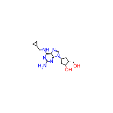 Nc1nc(NCC2CC2)c2ncn([C@H]3C[C@H](CO)[C@@H](O)C3)c2n1